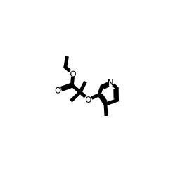 CCOC(=O)C(C)(C)Oc1cnccc1C